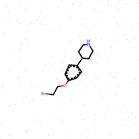 BrCCOc1ccc(C2CCNCC2)cc1